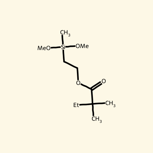 CCC(C)(C)C(=O)OCC[Si](C)(OC)OC